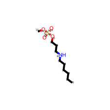 CCCCCCNCCCOS(=O)(=O)OC